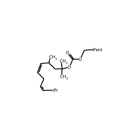 CCC/C=C\C/C=C\C(C)CC(C)(C)OC(=O)OCC(C)CCC